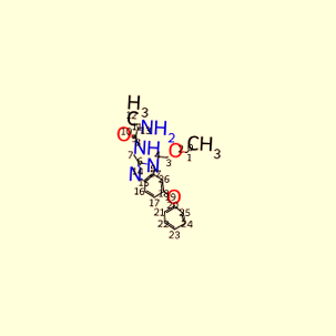 CCOCCn1c(CNC(=O)[C@H](C)N)nc2ccc(Oc3ccccc3)cc21